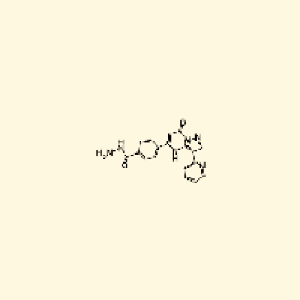 NNC(=O)c1ccc(-c2cc(=O)n3ncc(-c4ccccn4)c3[nH]2)cc1